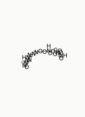 CN(C)C(=O)c1cc2cnc(Nc3ccc(N4CCN(CCOCCOCCNC(=O)COc5cccc6c5C(=O)N(C5CCC(=O)NC5=O)C6=O)CC4)cn3)nc2n1C1CCCC1